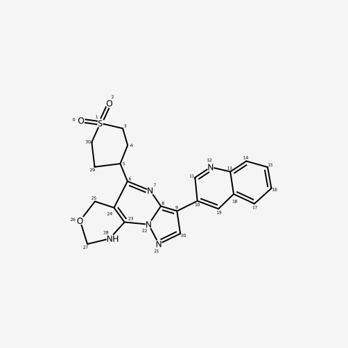 O=S1(=O)CCC(c2nc3c(-c4cnc5ccccc5c4)cnn3c3c2COCN3)CC1